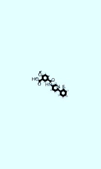 COc1ccc(C(=O)Nc2ccc(-c3ccccc3F)nc2)cc1C(=O)O